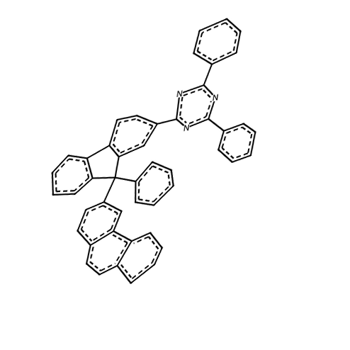 c1ccc(-c2nc(-c3ccccc3)nc(-c3ccc4c(c3)C(c3ccccc3)(c3ccc5ccc6ccccc6c5c3)c3ccccc3-4)n2)cc1